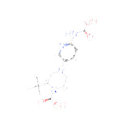 CC(C)(C)C1CN(c2ccc(NC(=O)O)nc2)CCN1C(=O)O